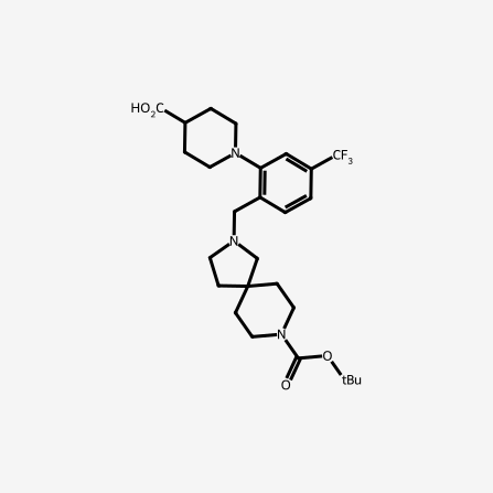 CC(C)(C)OC(=O)N1CCC2(CCN(Cc3ccc(C(F)(F)F)cc3N3CCC(C(=O)O)CC3)C2)CC1